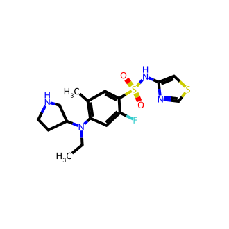 CCN(c1cc(F)c(S(=O)(=O)Nc2cscn2)cc1C)C1CCNC1